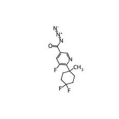 CC1(c2ncc(C(=O)N=[N+]=[N-])cc2F)CCC(F)(F)CC1